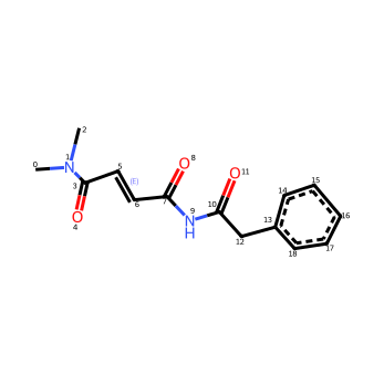 CN(C)C(=O)/C=C/C(=O)NC(=O)Cc1ccccc1